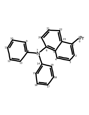 CC(C)c1cccc2c(N(c3ccccc3)c3ccccc3)cccc12